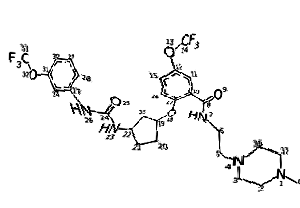 CN1CCN(CCNC(=O)c2cc(OC(F)(F)F)ccc2OC2CCC(NC(=O)Nc3cccc(OC(F)(F)F)c3)C2)CC1